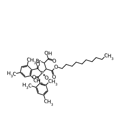 CCCCCCCCCCOC(=O)C(C(Br)C(=O)O)P(=O)(C(=O)c1c(C)cc(C)cc1C)C(=O)c1c(C)cc(C)cc1C